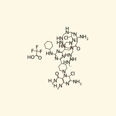 O=C(O)C(F)(F)F.[CH2]NNNCN1CNNNCNC2=NC(N)=C(C1=O)N(N1CCC(c3nc(NC4CCCCC4)nc(C4CCN(N5C(C(N)=O)=C(N)N=C(N)C5Cl)CC4)n3)CC1)C2Cl